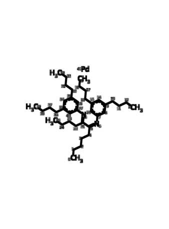 CCCCCC(=Nc1cc(CCCC)cc(CCCC)c1)C(CCCC)=Nc1cc(CCCC)cc(CCCC)c1.[Pd]